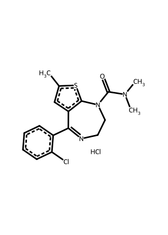 Cc1cc2c(s1)N(C(=O)N(C)C)CCN=C2c1ccccc1Cl.Cl